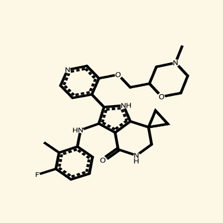 Cc1c(F)cccc1Nc1c(-c2ccncc2OCC2CN(C)CCO2)[nH]c2c1C(=O)NCC21CC1